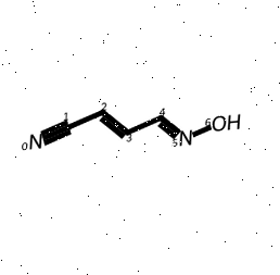 N#CC=CC=NO